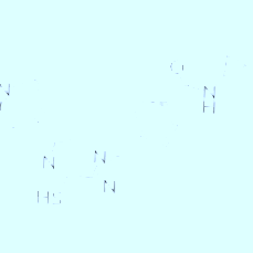 O=C(NC1CC1)c1ccc(-c2cnc3n2CC(c2ccncc2)N=C3S)cc1